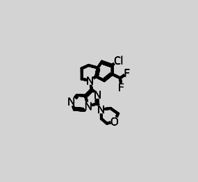 FC(F)c1cc2c(cc1Cl)CCCN2c1nc(N2CCOCC2)n2ccncc12